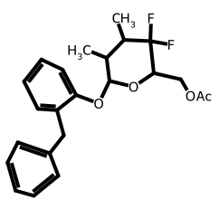 CC(=O)OCC1OC(Oc2ccccc2Cc2ccccc2)C(C)C(C)C1(F)F